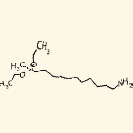 CCO[Si](C)(CCCCCCCCCCCN)OCC